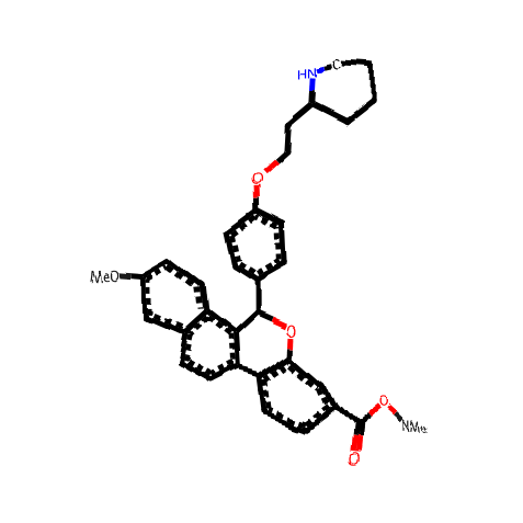 CNOC(=O)c1ccc2c(c1)OC(c1ccc(OCCC3CCCCN3)cc1)c1c-2ccc2cc(OC)ccc12